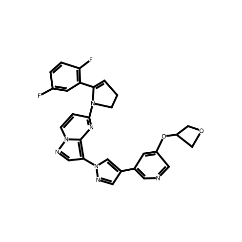 Fc1ccc(F)c(C2=CCCN2c2ccn3ncc(-n4cc(-c5cncc(OC6COC6)c5)cn4)c3n2)c1